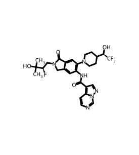 CC(C)(O)[C@H](F)CN1Cc2cc(NC(=O)c3cnn4cnccc34)c(N3CCC([C@@H](O)C(F)(F)F)CC3)cc2C1=O